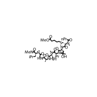 CCCC(=O)N(C)[C@@H](CSCCCCC(=O)OC)C(=O)N(C)[C@@H](CC(C)(C)O)C(=O)N[C@H](C(=O)N(C)[C@@H](CC(C)C)C(=O)N[C@@H](C)C(=O)N[C@H](C)C(=O)N(C)[C@@H](CC(C)C)C(=O)NC)C(C)C